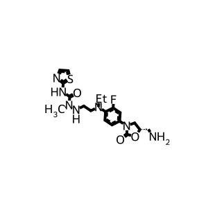 CCN(CCNN(C)C(=O)Nc1nccs1)c1ccc(N2C[C@H](CN)OC2=O)cc1F